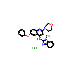 Cl.Cn1c(Nc2cc(N3CCOCC3)nc3ccc(Oc4ccccc4)cc23)nc2ccccc21